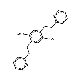 COc1cc(CCc2ccccn2)c(OC)cc1CCc1ccccn1